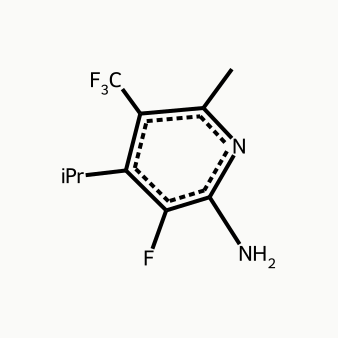 Cc1nc(N)c(F)c(C(C)C)c1C(F)(F)F